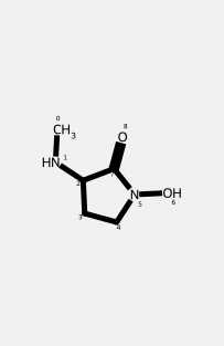 CNC1CCN(O)C1=O